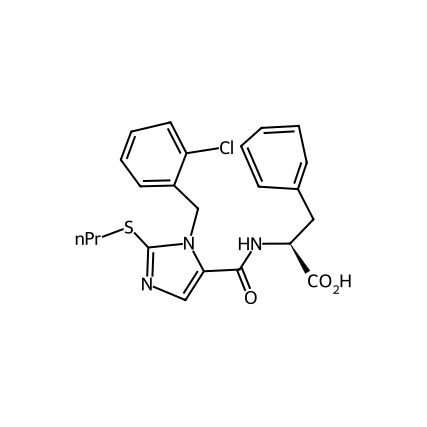 CCCSc1ncc(C(=O)N[C@@H](Cc2ccccc2)C(=O)O)n1Cc1ccccc1Cl